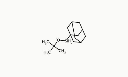 CC(C)(C)O[SiH2]C12CC3CC(CC(C3)C1)C2